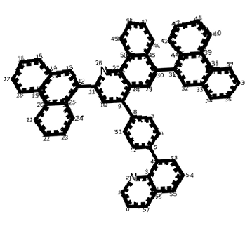 c1cnc2c(-c3ccc(-c4cc(-c5cc6ccccc6c6ccccc56)nc5c4cc(-c4cc6ccccc6c6ccccc46)c4ccccc45)cc3)cccc2c1